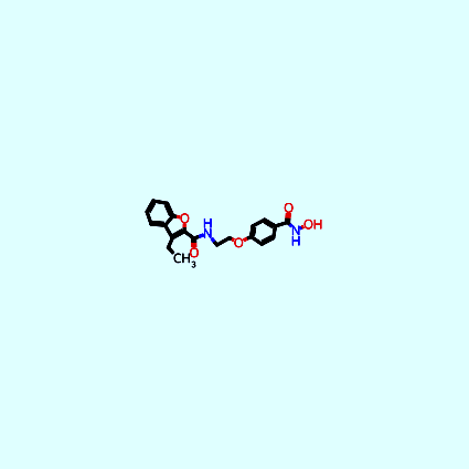 CCc1c(C(=O)NCCOc2ccc(C(=O)NO)cc2)oc2ccccc12